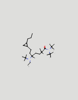 CCCC1CC1CCC(C)(CCC(C)(C)C(=O)N(C(C)(C)C)C(C)(C)C)N(CC)C(C)(C)C